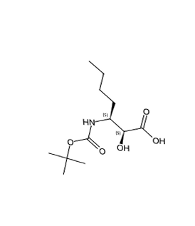 CCCC[C@H](NC(=O)OC(C)(C)C)[C@H](O)C(=O)O